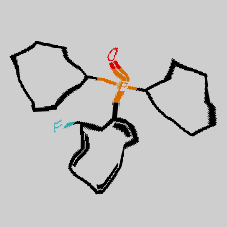 O=P(c1ccccc1F)(C1CCCCC1)C1CCCCC1